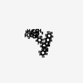 CC1(C)OB(c2ccc(-c3cn4c5ccccc5nc4c4sc5cc6ccccc6cc5c34)cc2)OC1(C)C